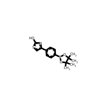 CC1(C)OB(c2ccc(-c3csc(O)n3)cc2)OC1(C)C